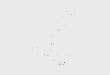 CNc1cc2nc(-c3ccc(C)o3)cc(NCC3CCN(c4ncc(C(=O)NO)cn4)CC3)c2cc1OC